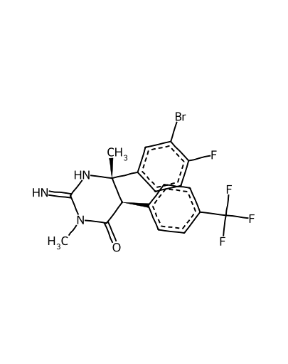 CN1C(=N)N[C@](C)(c2ccc(F)c(Br)c2)[C@@H](c2ccc(C(F)(F)F)cc2)C1=O